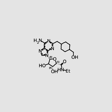 CCNC(=O)[C@H]1O[C@@H](n2cnc3c(N)nc(CC4CCC(CO)CC4)nc32)C(O)[C@H]1O